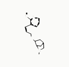 C=Nc1ncccc1/C=C\COC1CC2CC1N(C)C2